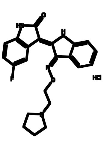 Cl.O=C1Nc2ccc(F)cc2/C1=C1/Nc2ccccc2/C1=N\OCCN1CCCC1